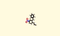 C=CCC1CCC([N+](=O)[O-])=CC1Cc1ccccc1